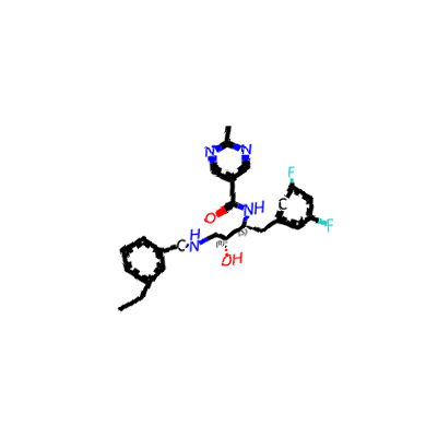 CCc1cccc(CNC[C@@H](O)[C@H](Cc2cc(F)cc(F)c2)NC(=O)c2cnc(C)nc2)c1